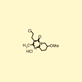 COC1CCc2nc(C)c(CCCl)c(=O)n2C1.Cl